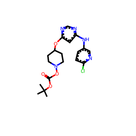 CC(C)(C)OC(=O)ON1CCC(Oc2cc(Nc3ccc(Cl)nc3)ncn2)CC1